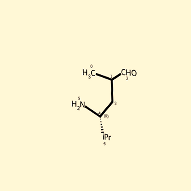 CC(C=O)C[C@@H](N)C(C)C